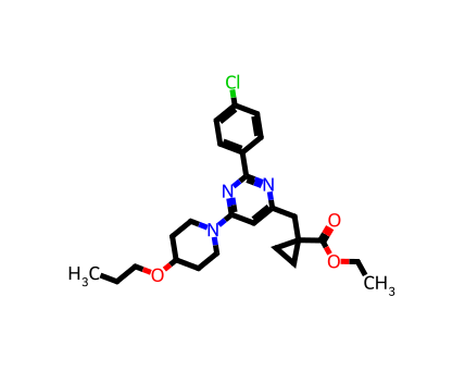 CCCOC1CCN(c2cc(CC3(C(=O)OCC)CC3)nc(-c3ccc(Cl)cc3)n2)CC1